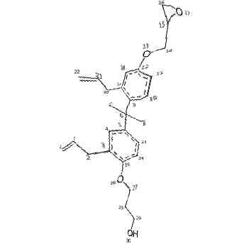 C=CCc1cc(C(C)(C)c2ccc(OCC3CO3)cc2CC=C)ccc1OCCCO